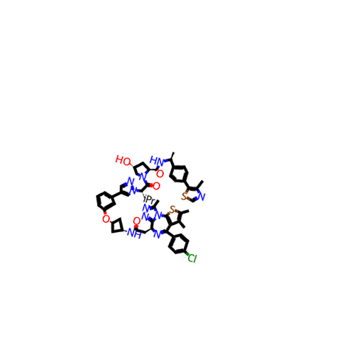 Cc1ncsc1-c1ccc([C@H](C)NC(=O)[C@@H]2C[C@@H](O)CN2C(=O)[C@H](C(C)C)n2cc(-c3cccc(O[C@H]4C[C@@H](NC(=O)C[C@@H]5N=C(c6ccc(Cl)cc6)c6c(sc(C)c6C)-n6c(C)nnc65)C4)c3)cn2)cc1